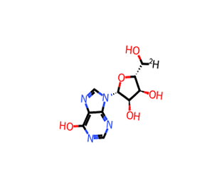 [2H]C(O)[C@H]1O[C@@H](n2cnc3c(O)ncnc32)[C@H](O)[C@@H]1O